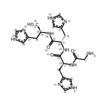 NCC(=O)N[C@@H](Cc1c[nH]cn1)C(=O)N[C@@H](Cc1c[nH]cn1)C(=O)N[C@@H](Cc1c[nH]cn1)C(=O)O